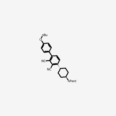 CCCCC[C@H]1CC[C@H](c2ccc(-c3ccc(OCCCC)cc3)c(C#N)c2C#N)CC1